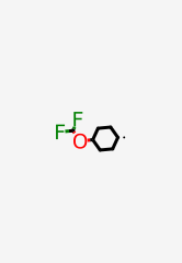 FC(F)OC1CC[CH]CC1